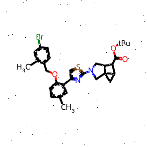 Cc1ccc(OCc2ccc(Br)cc2C)c(-c2csc(N3CC4C(C(=O)OC(C)(C)C)C5CC45C3)n2)c1